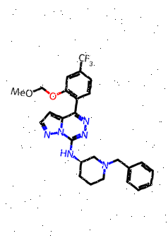 COCOc1cc(C(F)(F)F)ccc1-c1nnc(N[C@@H]2CCCN(Cc3ccccc3)C2)n2nccc12